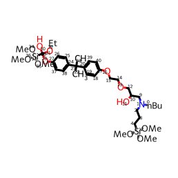 CCCCN(CCC[Si](OC)(OC)OC)CC(O)COCCOc1ccc(C(C)(C)c2ccc(OC(O)(OCC)[Si](OC)(OC)OC)cc2)cc1